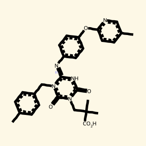 Cc1ccc(Cn2c(=O)n(CC(C)(C)C(=O)O)c(=O)[nH]/c2=N\c2ccc(Oc3ccc(C)cn3)cc2)cc1